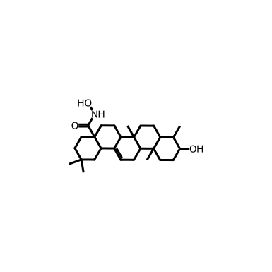 CC1C(O)CCC2(C)C1CCC1(C)C3CCC4(C(=O)NO)CCC(C)(C)CC4C3=CCC12